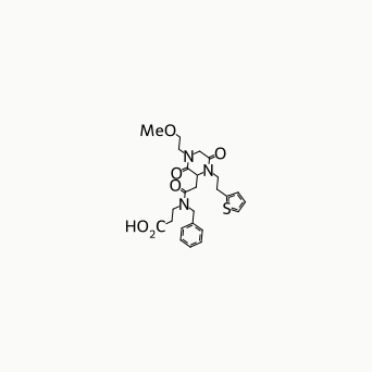 COCCN1CC(=O)N(CCc2cccs2)C(CC(=O)N(CCC(=O)O)Cc2ccccc2)C1=O